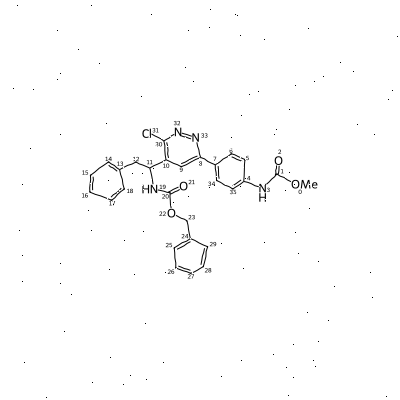 COC(=O)Nc1ccc(-c2cc(C(Cc3ccccc3)NC(=O)OCc3ccccc3)c(Cl)nn2)cc1